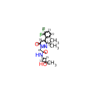 CC(C)c1nn(CC(=O)N[C@H]2C[C@@](C)(O)C2)c(=O)cc1-c1cccc(F)c1F